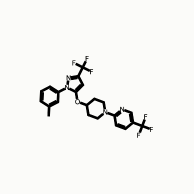 Cc1cccc(-n2nc(C(F)(F)F)cc2OC2CCN(c3ccc(C(F)(F)F)cn3)CC2)c1